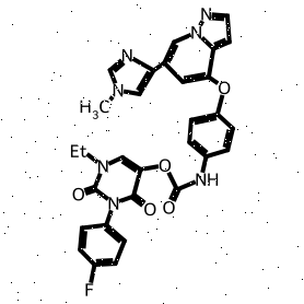 CCn1cc(OC(=O)Nc2ccc(Oc3cc(-c4cn(C)cn4)cn4nccc34)cc2)c(=O)n(-c2ccc(F)cc2)c1=O